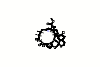 COC(=O)N(C)[C@H]1/C=C/C[C@H](C)[C@@H](C)C(=O)NS(=O)(=O)c2ccc3c(c2)N(C[C@@H]2CC[C@H]21)C[C@]1(CO3)OCCc2cc(Cl)ccc21